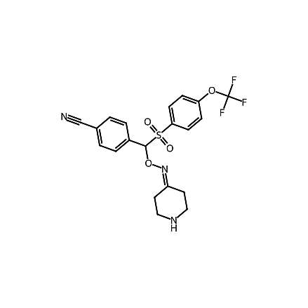 N#Cc1ccc(C(ON=C2CCNCC2)S(=O)(=O)c2ccc(OC(F)(F)F)cc2)cc1